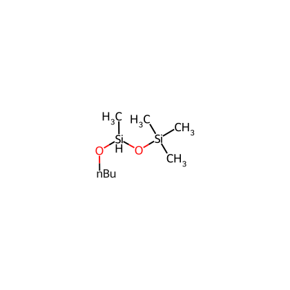 CCCCO[SiH](C)O[Si](C)(C)C